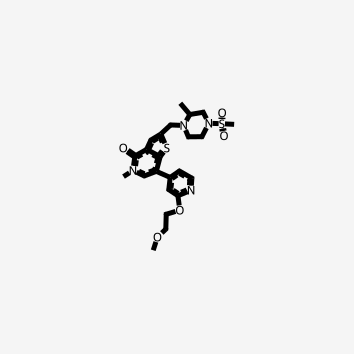 COCCOc1cc(-c2cn(C)c(=O)c3cc(CN4CCN(S(C)(=O)=O)CC4C)sc23)ccn1